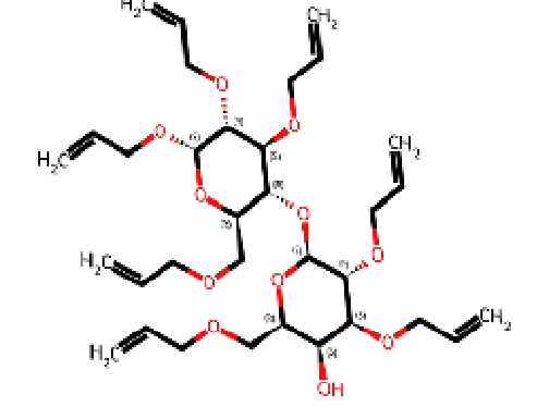 C=CCOC[C@H]1O[C@@H](O[C@H]2[C@H](OCC=C)[C@@H](OCC=C)[C@@H](OCC=C)O[C@@H]2COCC=C)[C@H](OCC=C)[C@@H](OCC=C)[C@H]1O